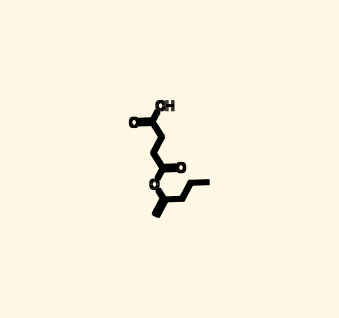 C=C(CCC)OC(=O)CCC(=O)O